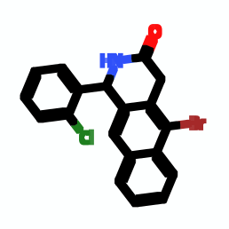 O=C1Cc2c(cc3ccccc3c2Br)C(c2ccccc2Cl)N1